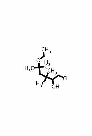 CCOC(C)(C)CC(C)(C)C(O)CCl